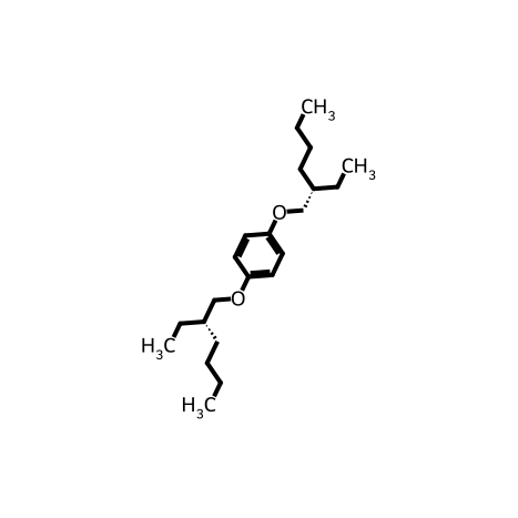 CCCC[C@H](CC)COc1ccc(OC[C@@H](CC)CCCC)cc1